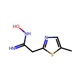 Cc1cnc(CC(=N)NO)s1